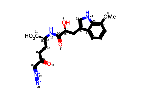 COc1cccc2c(C[C@H](O)C(=O)N[C@@H](CCC(=O)C=[N+]=[N-])C(=O)O)c[nH]c12